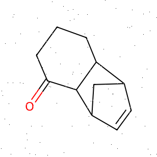 O=C1CCCC2C3C=CC(C3)C12